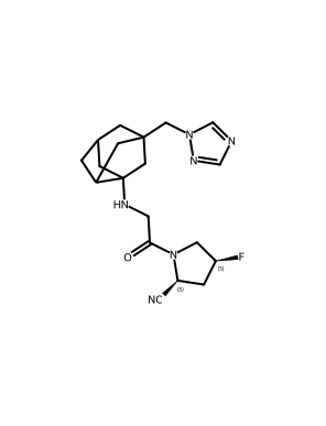 N#C[C@@H]1C[C@H](F)CN1C(=O)CNC12CC3CC1CC(Cn1cncn1)(C3)C2